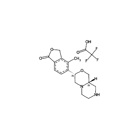 Cc1c([C@H]2CN3CCNC[C@H]3CO2)ccc2c1COC2=O.O=C(O)C(F)(F)F